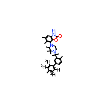 [2H]c1c([2H])c(-c2ccc(C)c(C(C)(C)N3CCN(c4c(C)c(C)cc5[nH]c(=O)oc45)C(C)C3(C)C)c2)c([2H])c([2H])c1C